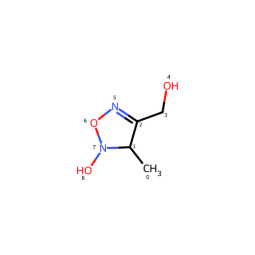 CC1C(CO)=NON1O